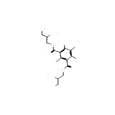 Cc1c(C)c(C(=O)NCC(O)CO)c(I)c(C(=O)NCC(O)CO)c1I